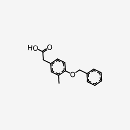 Cc1cc(CC(=O)O)ccc1OCc1ccccc1